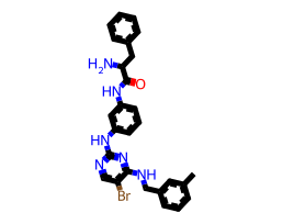 Cc1cccc(CNc2nc(Nc3cccc(NC(=O)C(N)Cc4ccccc4)c3)ncc2Br)c1